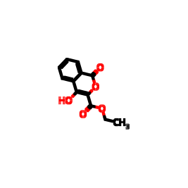 CCOC(=O)c1oc(=O)c2ccccc2c1O